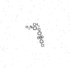 Cc1cc(Oc2ccc(S(=O)(=O)c3ccc(Cl)cc3)cc2)ccc1N